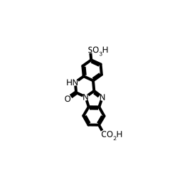 O=C(O)c1ccc2c(c1)nc1c3ccc(S(=O)(=O)O)cc3[nH]c(=O)n21